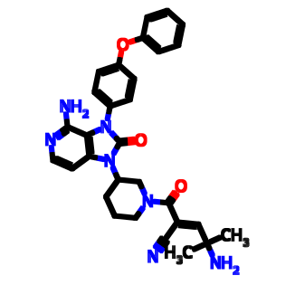 CC(C)(N)C=C(C#N)C(=O)N1CCCC(n2c(=O)n(-c3ccc(Oc4ccccc4)cc3)c3c(N)nccc32)C1